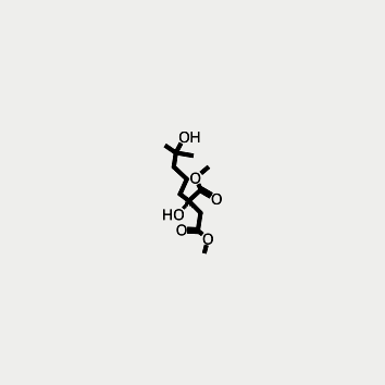 COC(=O)C[C@](O)(CCCC(C)(C)O)C(=O)OC